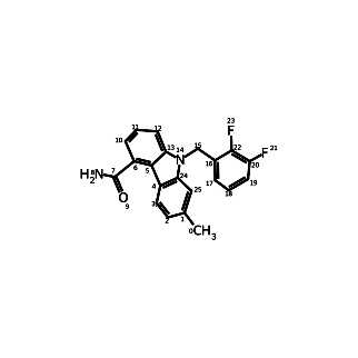 Cc1c[c]c2c3c(C(N)=O)cccc3n(Cc3cccc(F)c3F)c2c1